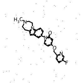 CN1CCc2cc3cc(-n4ccc(OCc5ccc(F)cn5)cc4=O)ccc3n2CC1